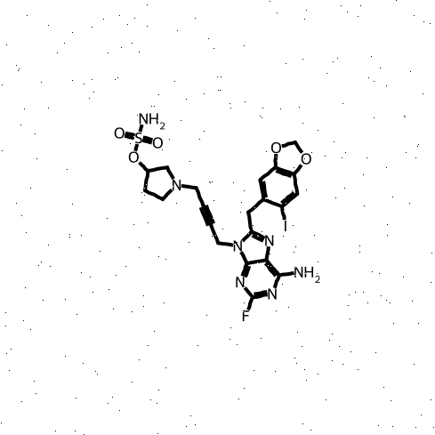 Nc1nc(F)nc2c1nc(Cc1cc3c(cc1I)OCO3)n2CC#CCN1CCC(OS(N)(=O)=O)C1